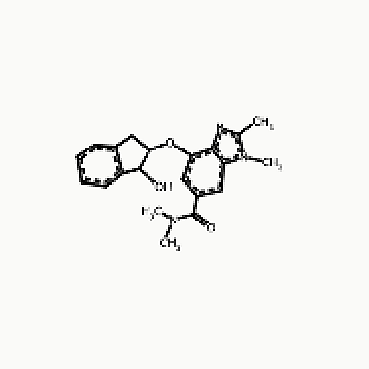 Cc1nc2c(OC3Cc4ccccc4C3O)cc(C(=O)N(C)C)cc2n1C